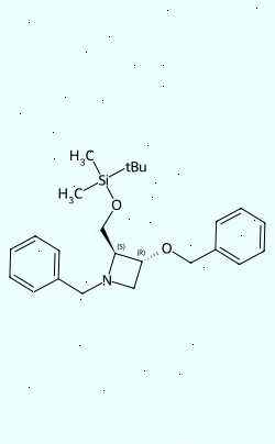 CC(C)(C)[Si](C)(C)OC[C@H]1[C@H](OCc2ccccc2)CN1Cc1ccccc1